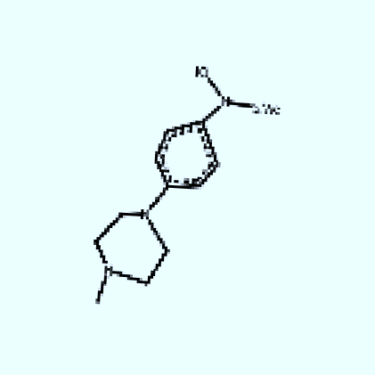 CSN(O)c1ccc(N2CCN(C)CC2)cc1